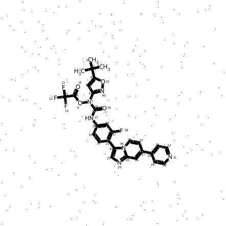 CC(C)(C)c1cc(N(OC(=O)C(F)(F)F)C(=O)Nc2ccc(-c3cnc4cc(-c5ccncc5)ccn34)c(F)c2)no1